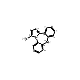 Cc1cnc2n1-c1ccccc1Nc1ccccc1-2